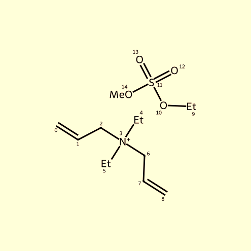 C=CC[N+](CC)(CC)CC=C.CCOS(=O)(=O)OC